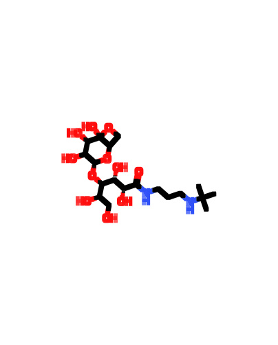 CC(C)(C)NCCCNC(=O)[C@H](O)[C@@H](O)[C@H](O[C@@H]1OC2CO[C@@]2(O)[C@H](O)C1O)[C@H](O)CO